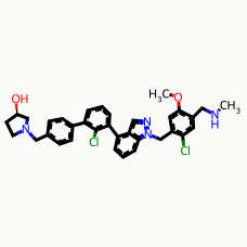 CNCc1cc(Cl)c(Cn2ncc3c(-c4cccc(-c5ccc(CN6CC[C@@H](O)C6)cc5)c4Cl)cccc32)cc1OC